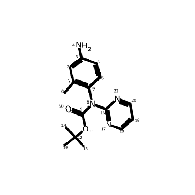 Cc1cc(N)ccc1N(C(=O)OC(C)(C)C)c1ncccn1